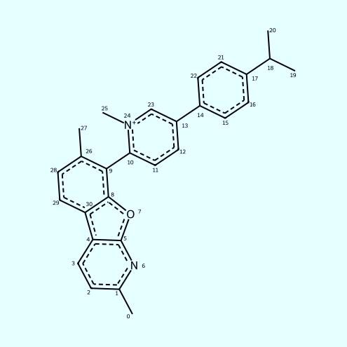 Cc1ccc2c(n1)oc1c(-c3ccc(-c4ccc(C(C)C)cc4)c[n+]3C)c(C)ccc12